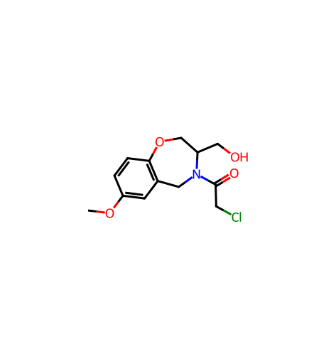 COc1ccc2c(c1)CN(C(=O)CCl)C(CO)CO2